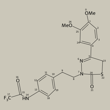 COc1ccc(C2=NN(CCc3ccc(NC(=O)C(F)(F)F)cc3)C(=O)SC2)cc1OC